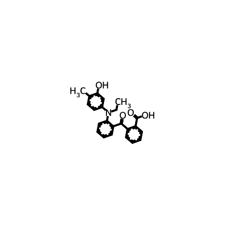 CCN(c1ccc(C)c(O)c1)c1ccccc1C(=O)c1ccccc1C(=O)O